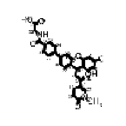 Cc1cc(Cl)ccc1C(C/C(=N\O)c1ccc(=O)n(C)c1)c1ccc(-c2ccc(C(=O)NCC(=O)O)cc2)cc1